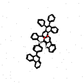 c1ccc(-c2c(-c3ccccc3)c3cc(-c4ccccc4N(c4ccc(-c5cc6ccccc6c6ccccc56)cc4)c4cccc5c4sc4ccccc45)ccc3c3ccccc23)cc1